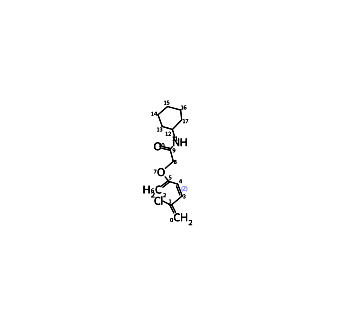 C=C(Cl)/C=C\C(=C)OCC(=O)NC1CCCCC1